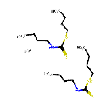 O=C(O)CCCNC(=S)[SH-]CCCC(=O)O.O=C(O)CCCNC(=S)[SH-]CCCC(=O)O.[Li+].[Li+]